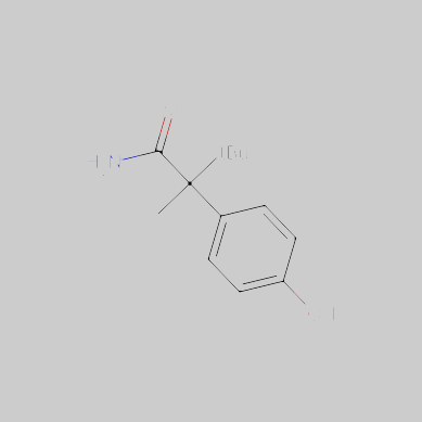 CC(C)(C)C(C)(C(N)=O)c1ccc(O)cc1